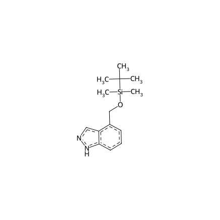 CC(C)(C)[Si](C)(C)OCc1cccc2[nH]ncc12